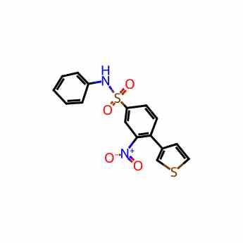 O=[N+]([O-])c1cc(S(=O)(=O)Nc2ccccc2)ccc1-c1ccsc1